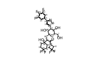 O=C(C(S[C@@H]1O[C@H](CO)[C@H](O)[C@H](n2cc(-c3cc(F)c(F)c(F)c3)nn2)[C@H]1O)C1(O)CCC(F)(F)CC1)N1CC(F)(F)C1